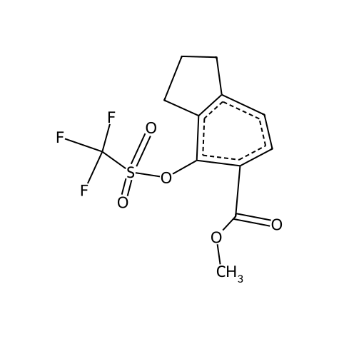 COC(=O)c1ccc2c(c1OS(=O)(=O)C(F)(F)F)CCC2